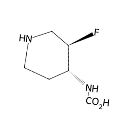 O=C(O)N[C@@H]1CCNC[C@H]1F